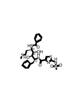 CSCC[C@@H](NC(=O)c1ccccc1)[C@@H](O)[C@H](O)[C@H](Cc1ccccc1)NC(=O)c1csc(NS(C)(=O)=O)n1